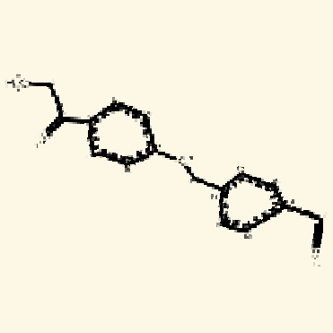 CCC(=O)c1ccc(OCc2ccc(C=O)cc2)cc1